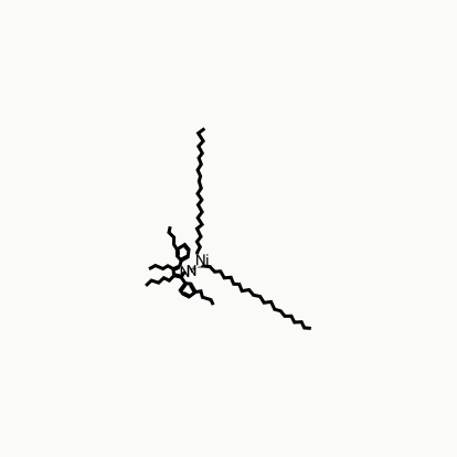 CCCCCC1=C(c2cccc(CCCC)c2)[N+](=[N-])C(c2cccc(CCCC)c2)=C1CCCC.CCCCCCCCCCCCCCCCCCCCC[CH2][Ni][CH2]CCCCCCCCCCCCCCCCCCCCC